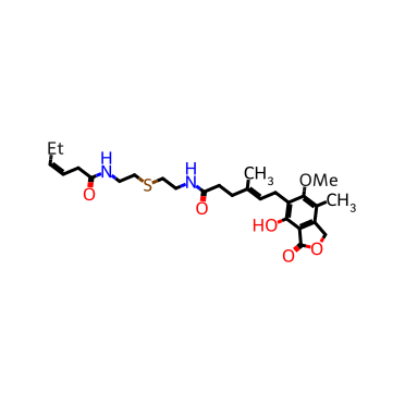 CC/C=C\CC(=O)NCCSCCNC(=O)CC/C(C)=C/Cc1c(O)c2c(c(C)c1OC)COC2=O